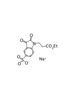 CCOC(=O)CCN1C(=O)C(=O)c2cc(S(=O)(=O)[O-])ccc21.[Na+]